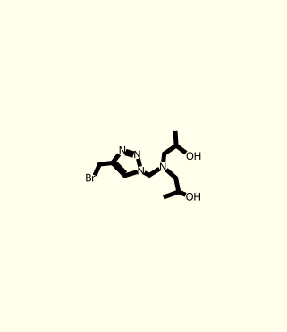 CC(O)CN(CC(C)O)Cn1cc(CBr)nn1